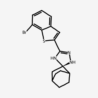 Brc1cccc2cc(C3=NN[C@@]4(CC5CCC4CC5)N3)sc12